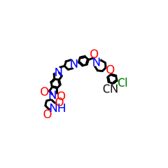 N#Cc1ccc(OC2CCCN(C(=O)c3ccc(N4CCC(CN5Cc6cc7c(cc6C5)C(=O)N(C5CCC(=O)NC5=O)C7=O)CC4)cc3)CC2)cc1Cl